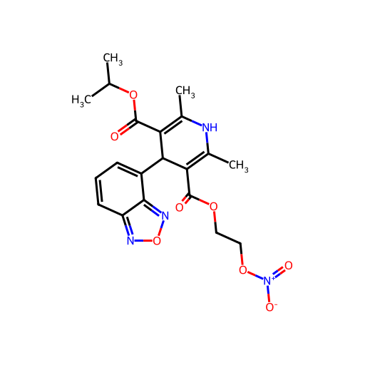 CC1=C(C(=O)OCCO[N+](=O)[O-])C(c2cccc3nonc23)C(C(=O)OC(C)C)=C(C)N1